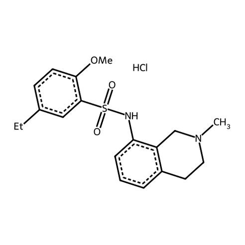 CCc1ccc(OC)c(S(=O)(=O)Nc2cccc3c2CN(C)CC3)c1.Cl